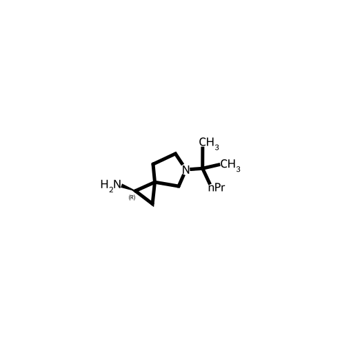 CCCC(C)(C)N1CCC2(C[C@H]2N)C1